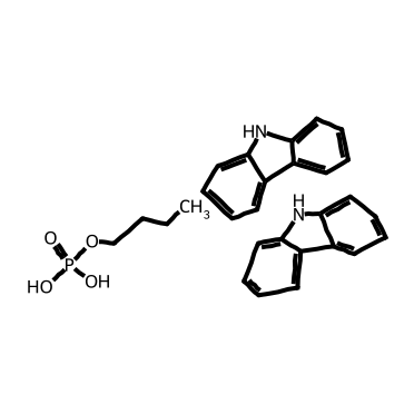 CCCCOP(=O)(O)O.c1ccc2c(c1)[nH]c1ccccc12.c1ccc2c(c1)[nH]c1ccccc12